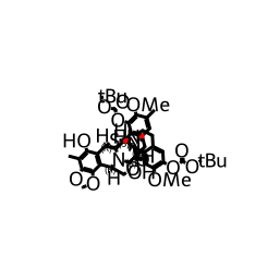 COc1cc2c(cc1OC(=O)OC(C)(C)C)CCN[C@]21CS[C@@H]2c3c(O)c(C)c4c(c3[C@H](COC1=O)N1C2[C@@H]2c3c(cc(C)c(OC)c3OC(=O)OC(C)(C)C)C[C@@H]([C@@H]1O)N2C)OCO4